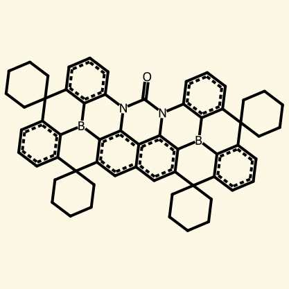 O=C1N2c3cccc4c3B3c5c(cccc5C5(CCCCC5)c5cc6cc7c8c(c6c2c53)N1c1cccc2c1B8c1c(cccc1C71CCCCC1)C21CCCCC1)C41CCCCC1